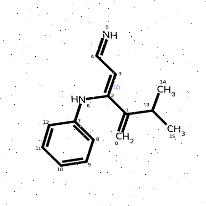 C=C(/C(=C/C=N)Nc1ccccc1)C(C)C